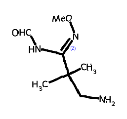 CO/N=C(\NC=O)C(C)(C)CN